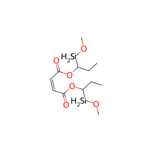 CCC(OC(=O)/C=C\C(=O)OC(CC)[SiH2]OC)[SiH2]OC